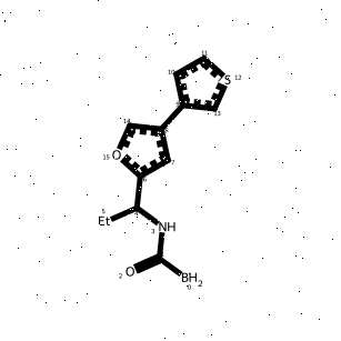 BC(=O)NC(CC)c1cc(-c2ccsc2)co1